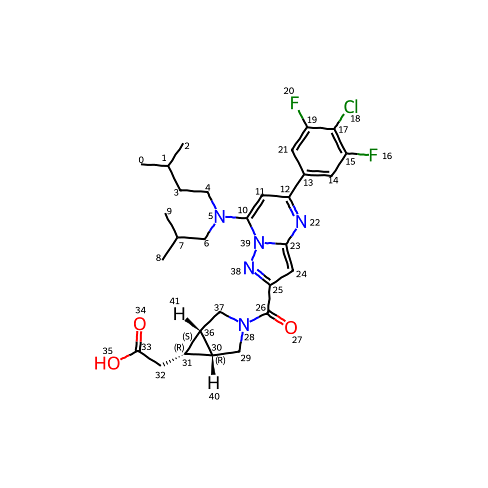 CC(C)CCN(CC(C)C)c1cc(-c2cc(F)c(Cl)c(F)c2)nc2cc(C(=O)N3C[C@@H]4[C@H](CC(=O)O)[C@@H]4C3)nn12